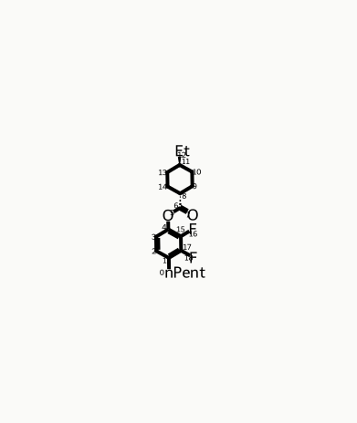 CCCCCc1ccc(OC(=O)[C@H]2CC[C@H](CC)CC2)c(F)c1F